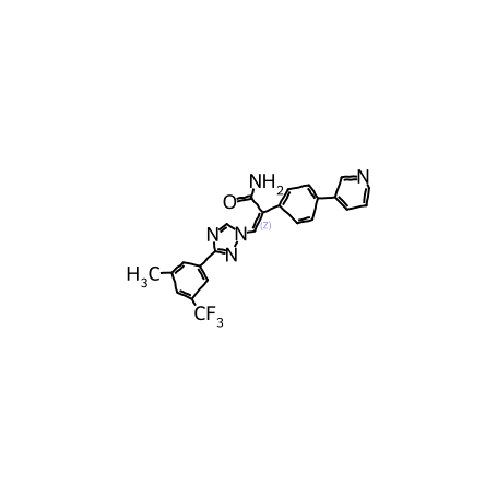 Cc1cc(-c2ncn(/C=C(\C(N)=O)c3ccc(-c4cccnc4)cc3)n2)cc(C(F)(F)F)c1